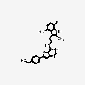 Cc1[nH]c2c(F)ccc(C)c2c1CCNC1=c2sc(-c3ccc(CO)cc3)cc2=NCN1